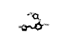 CO.COc1ccc(CCc2cc[nH]n2)cc1OC1CCCC1